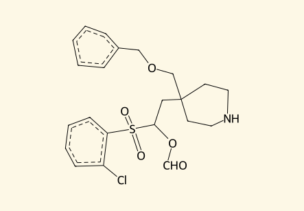 O=COC(CC1(COCc2ccccc2)CCNCC1)S(=O)(=O)c1ccccc1Cl